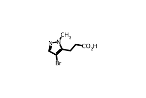 Cn1ncc(Br)c1CCC(=O)O